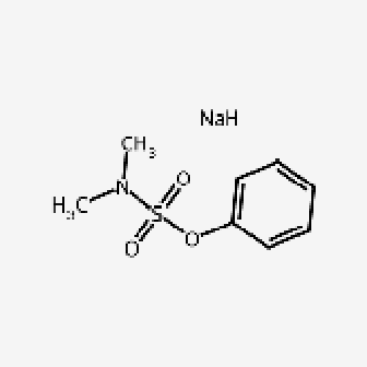 CN(C)S(=O)(=O)Oc1ccccc1.[NaH]